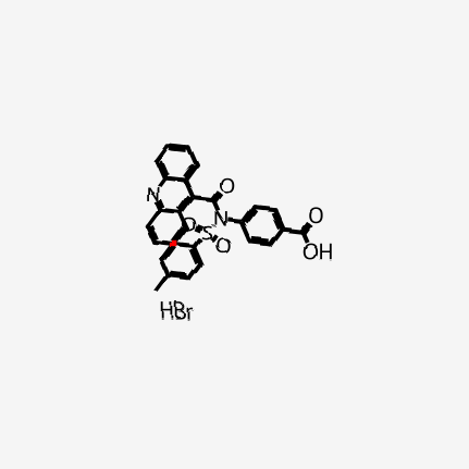 Br.Cc1ccc(S(=O)(=O)N(C(=O)c2c3ccccc3nc3ccccc23)c2ccc(C(=O)O)cc2)cc1